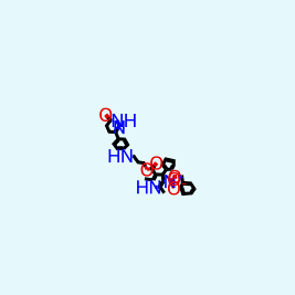 CC1=C(C(=O)OCCCNc2ccc(C3=NNC(=O)CC3)cc2)C(c2ccccc2OCc2ccccc2)C([N+](=O)[O-])=C(C)N1